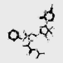 CC(C)OC(=O)C(C)NP(=O)(OC[C@@H]1O[C@@H](n2ccc(=O)[nH]c2=O)[C@](C)(F)[C@H]1O)Oc1ccccc1